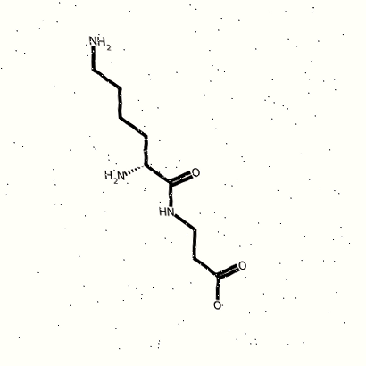 NCCCC[C@@H](N)C(=O)NCCC([O])=O